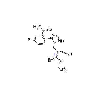 CCN/C(Br)=C(\C=N)CC1NC=CN1c1ccc(F)cc1C(C)=O